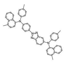 Cc1ccc(N(c2ccc(-n3nc4ccc(N(c5ccc(C)cc5)c5ccc(C)c6ccccc56)cc4n3)cc2)c2ccc(C)c3ccccc23)cc1